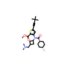 COC(=O)c1sc(C#CC(C)(C)C)cc1N(C(=O)[C@H]1CC[C@H](C)CC1)C1CC(CN(C)C)C1